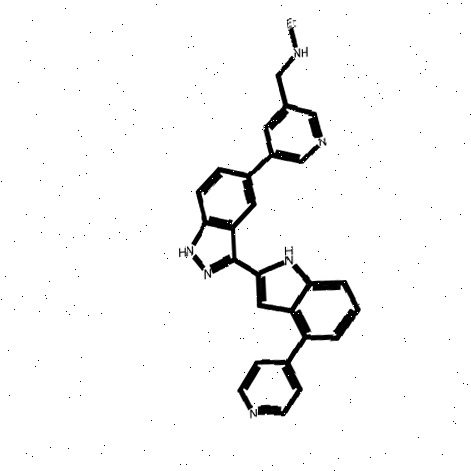 CCNCc1cncc(-c2ccc3[nH]nc(-c4cc5c(-c6ccncc6)cccc5[nH]4)c3c2)c1